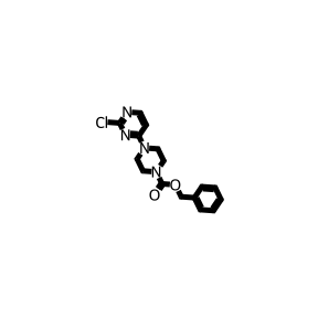 O=C(OCc1ccccc1)N1CCN(c2ccnc(Cl)n2)CC1